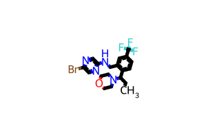 CCC(c1ccc(C(F)(F)F)cc1CNc1cnc(Br)cn1)N1CCOCC1